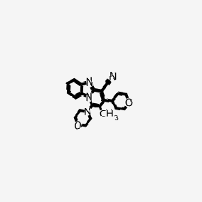 Cc1c(C2CCOCC2)c(C#N)c2nc3ccccc3n2c1N1CCOCC1